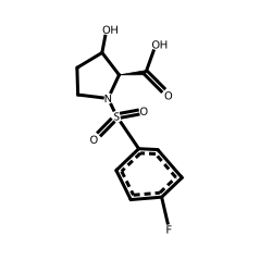 O=C(O)[C@@H]1C(O)CCN1S(=O)(=O)c1ccc(F)cc1